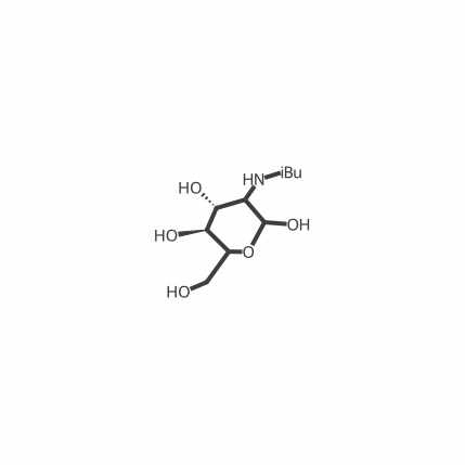 CCC(C)NC1C(O)OC(CO)[C@@H](O)[C@@H]1O